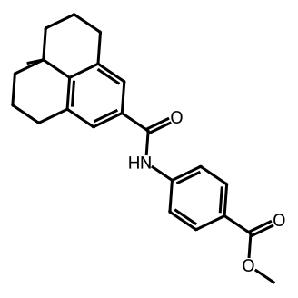 COC(=O)c1ccc(NC(=O)c2cc3c4c(c2)CCCC4(C)CCC3)cc1